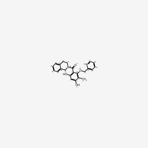 Cc1c(O)cc(O)c(C(=O)N2CCc3ccccc3C2)c1OCc1ccccn1